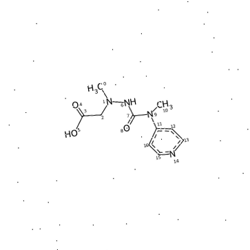 CN(CC(=O)O)NC(=O)N(C)c1ccncc1